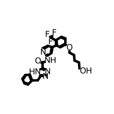 O=C(Nc1cc(-c2cc(OCCCCCO)ccc2C(F)(F)F)ccn1)c1nnc(Cc2ccccc2)[nH]1